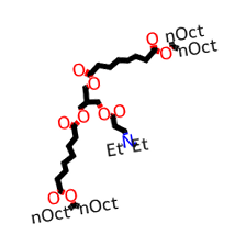 CCCCCCCCC(CCCCCCCC)OC(=O)CCCCCCC(=O)OCC(COC(=O)CCCCCCC(=O)OC(CCCCCCCC)CCCCCCCC)COC(=O)CCN(CC)CC